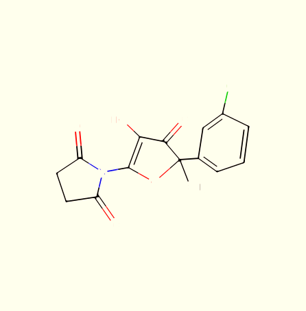 CC1(c2cccc(Cl)c2)OC(N2C(=O)CCC2=O)=C(O)C1=O